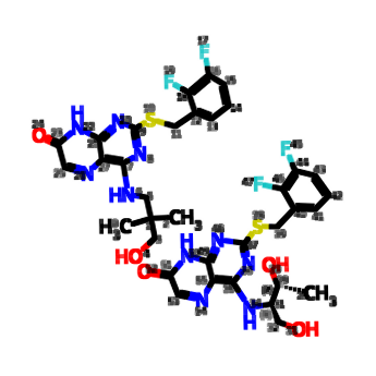 CC(C)(CO)CNc1nc(SCc2cccc(F)c2F)nc2[nH]c(=O)cnc12.C[C@@H](O)[C@@H](CO)Nc1nc(SCc2cccc(F)c2F)nc2[nH]c(=O)cnc12